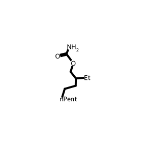 CCCCCCCC(CC)COC(N)=O